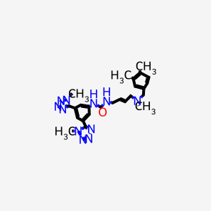 Cc1ccc(CN(C)C/C=C/CNC(=O)Nc2cc(-c3nnnn3C)cc(-c3nnnn3C)c2)cc1C